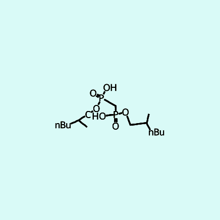 CCCCC(C)COP(=O)(O)CP(=O)(O)OCC(C)CCCC